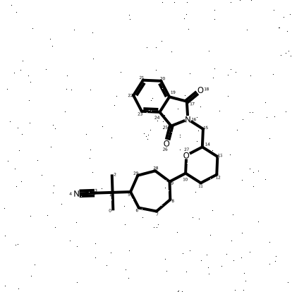 CC(C)(C#N)C1CCCC(C2CCCC(CN3C(=O)c4ccccc4C3=O)O2)CC1